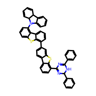 C1=CC2c3ccccc3N(c3cccc4sc5c(-c6ccc7c(c6)sc6c(C8=NC(c9ccccc9)NC(c9ccccc9)=N8)cccc67)cccc5c34)C2C=C1